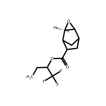 CCC(OC(=O)C1CC2CC1[C@H]1OC21)C(F)(F)F